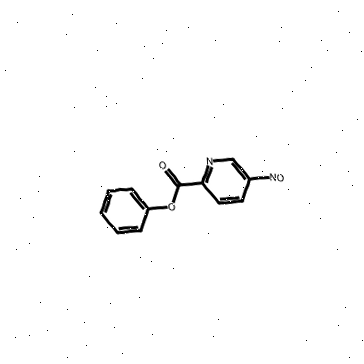 O=Nc1ccc(C(=O)Oc2ccccc2)nc1